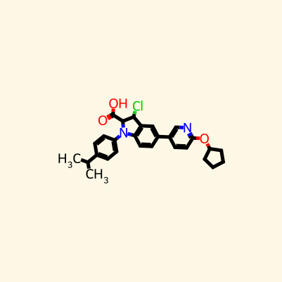 CC(C)c1ccc(N2c3ccc(-c4ccc(OC5CCCC5)nc4)cc3C(Cl)C2C(=O)O)cc1